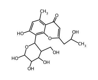 Cc1cc(O)c(C2OC(O)C(O)C(O)C2CO)c2oc(CC(C)O)cc(=O)c12